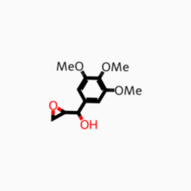 COc1cc(C(O)C2CO2)cc(OC)c1OC